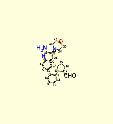 Nc1nc2ccc(-c3ccccc3C3CCCC3C=O)cc2cc1N1CCOCC1